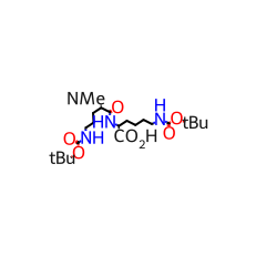 CN[C@@H](CCCNC(=O)OC(C)(C)C)C(=O)N[C@@H](CCCCNC(=O)OC(C)(C)C)C(=O)O